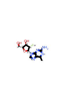 Cc1nc(N)nc2c1ncn2[C@@H]1O[C@H](CO)[C@@H](O)[C@@H]1F